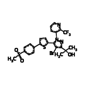 CC(C)(O)c1nn(-c2cccnc2C(F)(F)F)c(-c2ccc(-c3ccc(S(C)(=O)=O)cc3)s2)c1Br